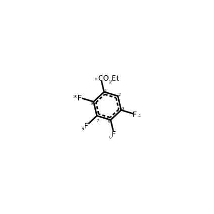 CCOC(=O)c1cc(F)c(F)c(F)c1F